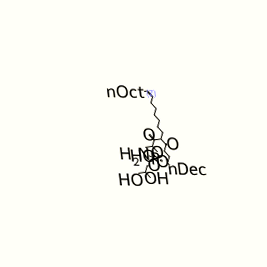 CCCCCCCC/C=C\CCCCCCC(C(=O)CCCCCCCCCCCCC)C(=O)C(CN)OP(=O)(O)OCC(O)CO